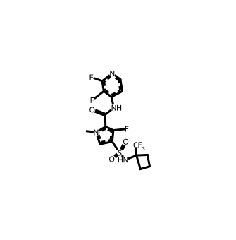 Cn1cc(S(=O)(=O)NC2(C(F)(F)F)CCC2)c(F)c1C(=O)Nc1ccnc(F)c1F